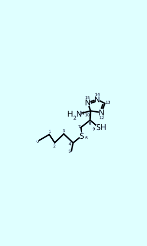 CCCCC(C)SCC(S)C1(N)N=CN=N1